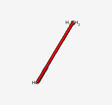 C=C(C)C(=O)OCCOCCOCCOCCOCCOCCOCCOCCOCCOCCOCCOCCOCCCOCCCOCCCOCCCOCCCOCCCOCCCOCCCOCCCOCCCOCCCOCCCOCCCOCCCOCCCOCCCOCCCOCCCOCCCOCCCOCCCOCCCOCCCO